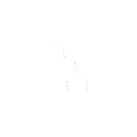 C=CC(=O)C(=C)c1ccccc1